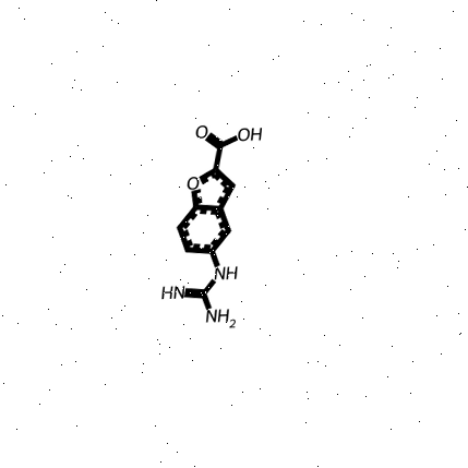 N=C(N)Nc1ccc2oc(C(=O)O)cc2c1